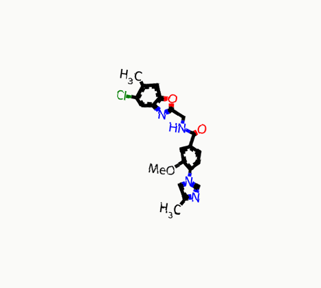 COc1cc(C(=O)NCc2nc3cc(Cl)c(C)cc3o2)ccc1-n1cnc(C)c1